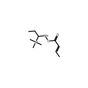 CC=CC(=O)ONC(CC)[N+](C)(C)C